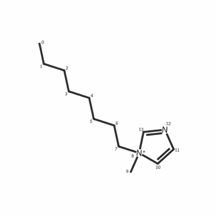 CCCCCCCC[N+]1(C)C=CN=C1